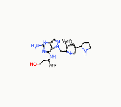 CCCC(CCO)Nc1nc(N)nc2cnn(Cc3ncc(C4CCCN4)cc3OC)c12